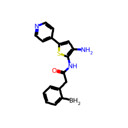 Bc1ccccc1CC(=O)Nc1sc(-c2ccncc2)cc1N